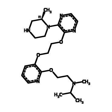 CC(C)N(C)CCOc1ncccc1OCCOc1nccnc1N1CCNC[C@H]1C